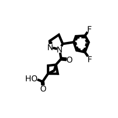 O=C(O)C12CC(C(=O)N3N=CCC3c3cc(F)cc(F)c3)(C1)C2